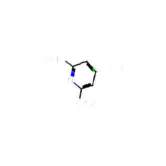 Cl.Cl.O=Cc1cccc(C=O)n1